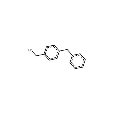 BrCc1ccc(Cc2ccccc2)cc1